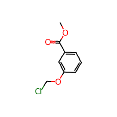 COC(=O)c1cccc(OCCl)c1